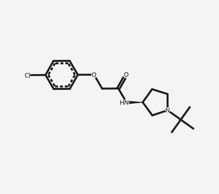 CC(C)(C)N1CC[C@H](NC(=O)COc2ccc(Cl)cc2)C1